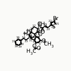 COc1cc(OC(C)=O)c2c3c1O[C@H]1[C@H](N(C)C(=O)/C=C/c4cc(Br)cs4)CC[C@H]4[C@@H](C2)N(CCc2ccccc2)CC[C@@]341